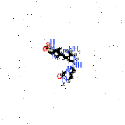 Cc1c(-c2cc3cc(Nc4cc5n(n4)CC(=O)N(C)CC5)ncc3c(N)n2)cnc2c1NS(=O)(=O)C2